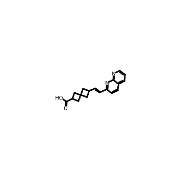 O=C(O)C1CC2(CC(C=Cc3ccc4cccnc4n3)C2)C1